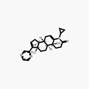 C[C@]12CCC(=O)N(C3CC3)C1=CC[C@@H]1[C@@H]2CC[C@]2(C)C(c3cnccn3)=CC[C@@H]12